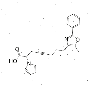 Cc1oc(-c2ccccc2)nc1CCCC#CCC(C(=O)O)n1cccc1